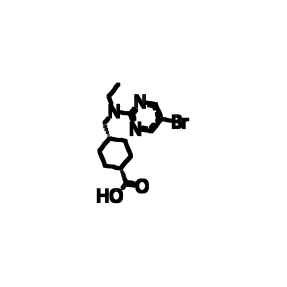 CCN(C[C@H]1CC[C@H](C(=O)O)CC1)c1ncc(Br)cn1